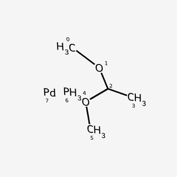 COC(C)OC.P.[Pd]